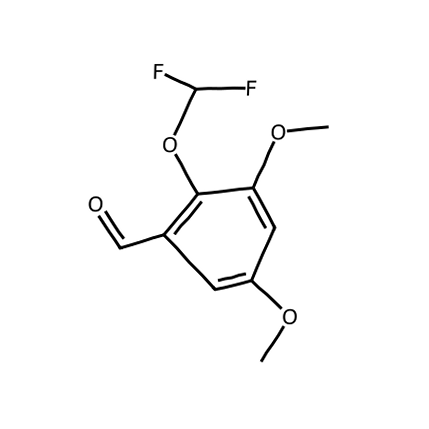 COc1cc(C=O)c(OC(F)F)c(OC)c1